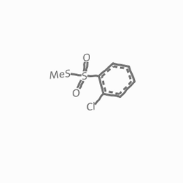 CSS(=O)(=O)c1ccccc1Cl